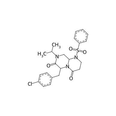 CC(C)N1CC2N(C(=O)CCN2S(=O)(=O)c2ccccc2)C(Cc2ccc(Cl)cc2)C1=O